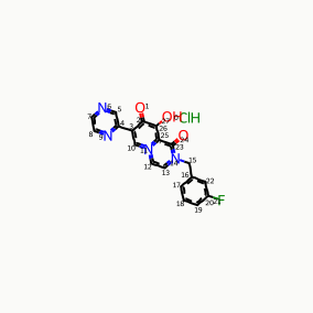 Cl.O=c1c(-c2cnccn2)cn2ccn(Cc3cccc(F)c3)c(=O)c2c1O